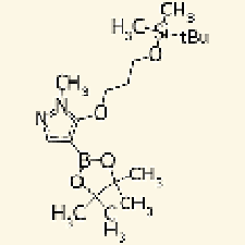 Cn1ncc(B2OC(C)(C)C(C)(C)O2)c1OCCCO[Si](C)(C)C(C)(C)C